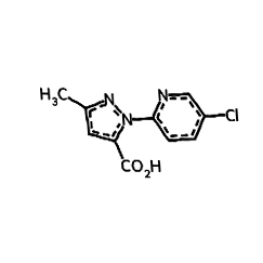 Cc1cc(C(=O)O)n(-c2ccc(Cl)cn2)n1